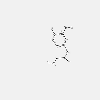 COC[C@H](C)Oc1ccc(C)c(OC)c1